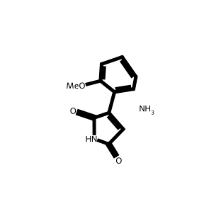 COc1ccccc1C1=CC(=O)NC1=O.N